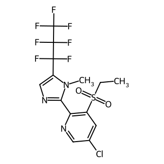 CCS(=O)(=O)c1cc(Cl)cnc1-c1ncc(C(F)(F)C(F)(F)C(F)(F)F)n1C